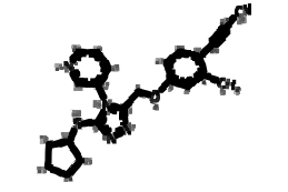 Cc1cc(OCc2nnc(SC3CCCC3)n2-c2cccnc2)ccc1C#CC#N